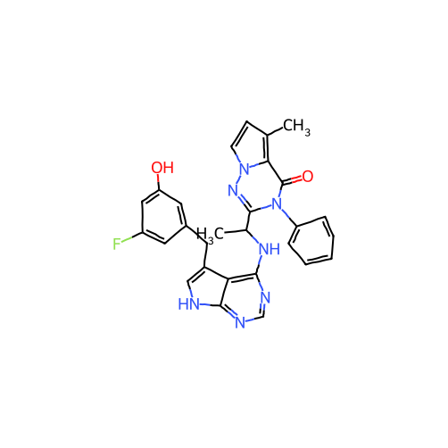 Cc1ccn2nc(C(C)Nc3ncnc4[nH]cc(Cc5cc(O)cc(F)c5)c34)n(-c3ccccc3)c(=O)c12